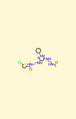 CC(=O)NCCNc1cc(NCCNC(=O)c2ccc(Cl)s2)nc(-c2ccccc2)n1